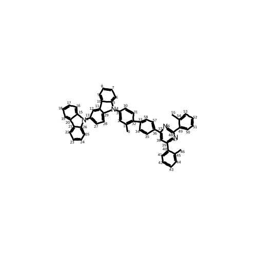 Cc1cc(-n2c3ccccc3c3cc(-n4c5ccccc5c5ccccc54)ccc32)ccc1-c1ccc(-c2cc(-c3ccccc3C)nc(-c3ccccc3C)n2)cc1